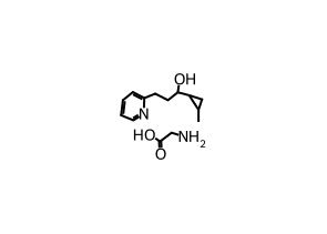 CC1CC1C(O)CCc1ccccn1.NCC(=O)O